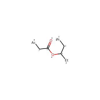 CCC(CC(C)C)OC(=O)CC(C)=O